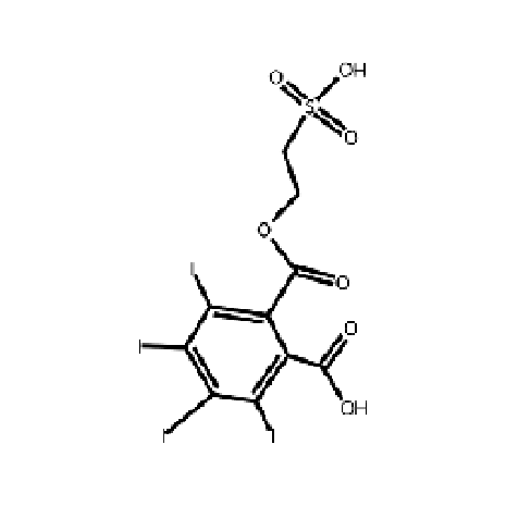 O=C(O)c1c(I)c(I)c(I)c(I)c1C(=O)OCCS(=O)(=O)O